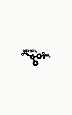 CN(O)C(=O)C#Cn1cc(-c2ccccc2)c(-c2ccc(S(N)(=O)=O)cc2)n1